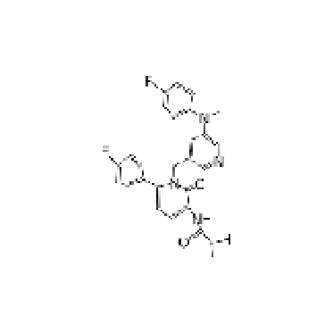 CC(I)C(=O)Nc1ccc(-c2ccc(F)cc2)n(Cc2cncc(N(C)c3ccc(F)cc3)c2)c1=O